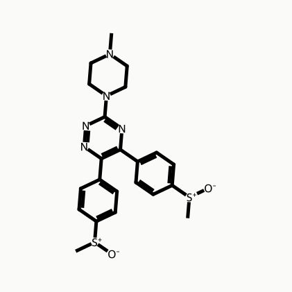 CN1CCN(c2nnc(-c3ccc([S+](C)[O-])cc3)c(-c3ccc([S+](C)[O-])cc3)n2)CC1